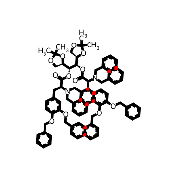 CC1(C)OC[C@H]([C@@H](OC(=O)C(Cc2ccc(OCc3ccccc3)c(OCc3ccccc3)c2)N(Cc2ccccc2)Cc2ccccc2)[C@H](OC(=O)C(Cc2ccc(OCc3ccccc3)c(OCc3ccccc3)c2)N(Cc2ccccc2)Cc2ccccc2)[C@H]2COC(C)(C)O2)O1